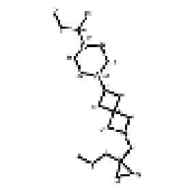 CCCC1(CN2CC3(CC(N4CCN(C(C)CC)CC4)C3)C2)CC1